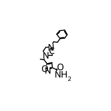 CC(c1cc(C(N)=O)no1)N1CCN(CCc2ccccc2)CC1